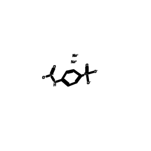 O=[N+]([O-])Nc1ccc([As](=O)([O-])[O-])cc1.[Na+].[Na+]